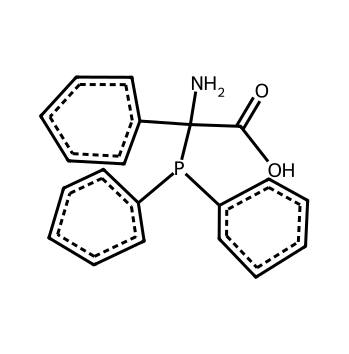 NC(C(=O)O)(c1ccccc1)P(c1ccccc1)c1ccccc1